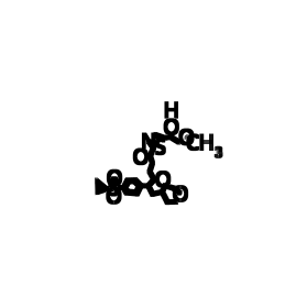 COCC(O)c1cnc(C(=O)CCC(=O)C(CC2CCOCC2)c2ccc(S(=O)(=O)C3CC3)cc2)s1